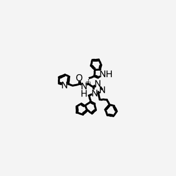 O=C(Cc1ccccn1)N[C@H](Cc1c[nH]c2ccccc12)c1nnc(CCc2ccccc2)n1Cc1cccc2ccccc12